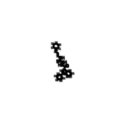 O=C(NNC(=S)NCCCN1CCCCC1)c1cn(-c2ccccc2)c2ccccc12